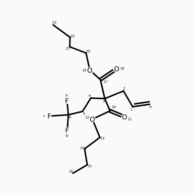 C=CCC(CCC(F)(F)F)(C(=O)OCCCC)C(=O)OCCCC